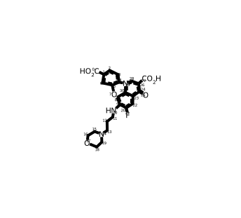 O=C(O)c1ccc2c(c1)Oc1c(NCCCN3CCOCC3)c(F)cc3c(=O)c(C(=O)O)cn-2c13